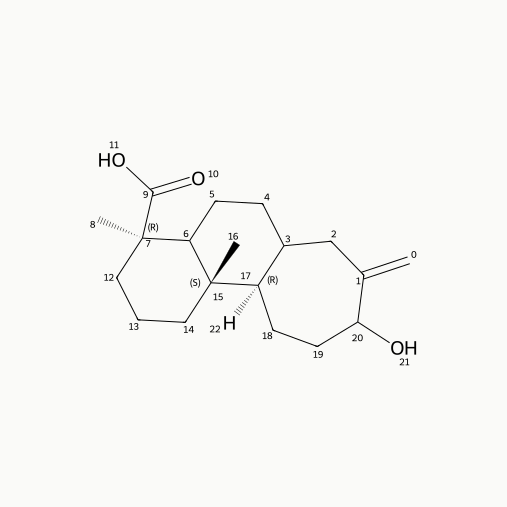 C=C1CC2CCC3[C@](C)(C(=O)O)CCC[C@@]3(C)[C@@H]2CCC1O